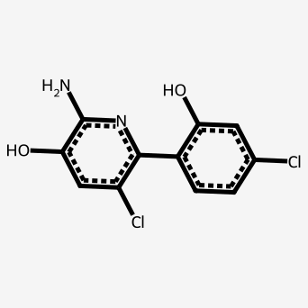 Nc1nc(-c2ccc(Cl)cc2O)c(Cl)cc1O